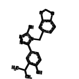 CC(C)c1cc(-c2nnc(S)n2Cc2ccc3c(c2)OCO3)ccc1O